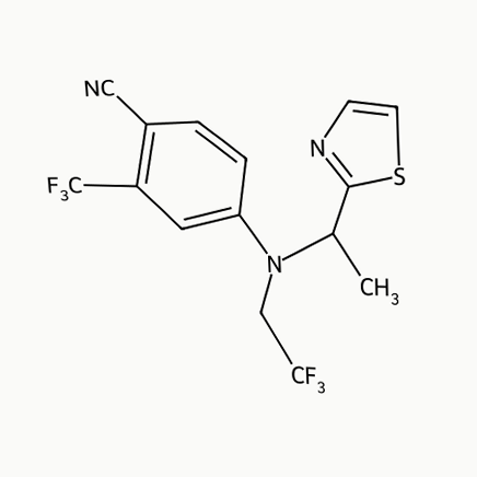 CC(c1nccs1)N(CC(F)(F)F)c1ccc(C#N)c(C(F)(F)F)c1